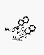 COCOC1=[C]c2ccccc2CC1(C(F)(F)F)C(F)(F)F.COCOc1[c]c2ccccc2cc1